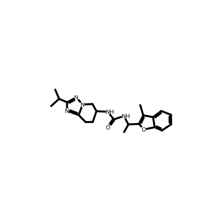 Cc1c(C(C)NC(=O)NC2CCc3nc(C(C)C)nn3C2)oc2ccccc12